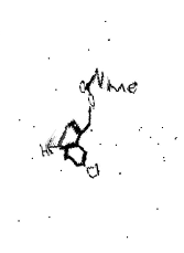 CNC(=O)OCCc1c[nH]c2ccc(Cl)cc12